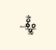 COc1cc(C2CCN(S(C)(=O)=O)CC2)ccc1Nc1nc(NC2CCCCC2)c2nc[nH]c2n1